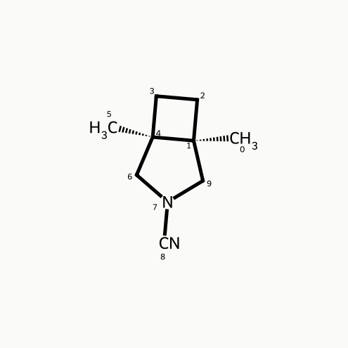 C[C@@]12CC[C@]1(C)CN(C#N)C2